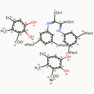 CCCCCCCCC(=Nc1cc(CCCCC)cc(CCCCC)c1)C(CCCCCCCC)=Nc1cc(CCCCC)cc(CCCCC)c1.CCc1cc(O)c(O)c(C(=O)[O-])c1C.CCc1cc(O)c(O)c(C(=O)[O-])c1C.[Ni+2]